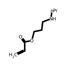 C=CC(=O)OCCCNCCC